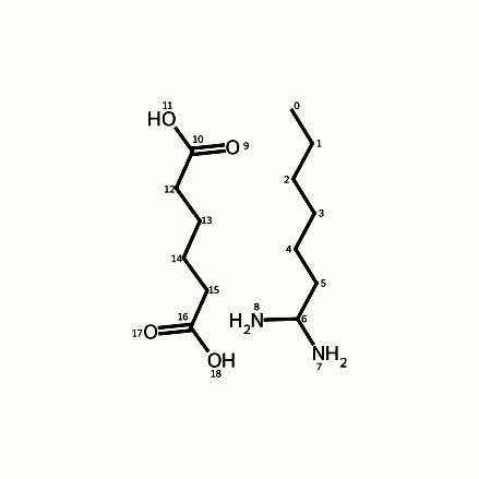 CCCCCCC(N)N.O=C(O)CCCCC(=O)O